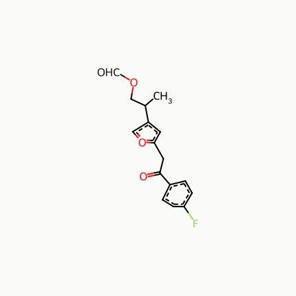 CC(COC=O)c1coc(CC(=O)c2ccc(F)cc2)c1